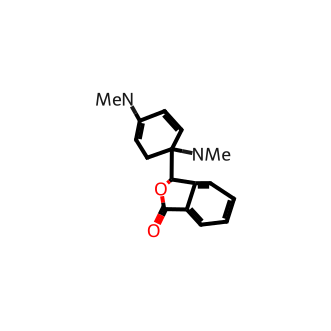 CNC1=CCC(NC)(C2OC(=O)c3ccccc32)C=C1